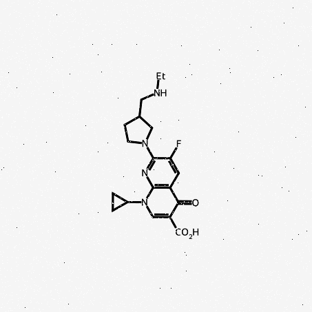 CCNCC1CCN(c2nc3c(cc2F)c(=O)c(C(=O)O)cn3C2CC2)C1